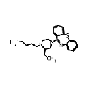 CCCCCN1CCN(C2=Nc3ccccc3Sc3ccccc32)CC1CC